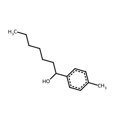 CCCCCCC(O)c1ccc(C)cc1